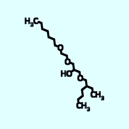 CCCCCCCOCCOCC(O)COCC(CC)CCCC